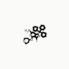 Nc1cc2c(c(I)nn2C(c2ccccc2)(c2ccccc2)c2ccccc2)c(OC2CCOCC2)n1